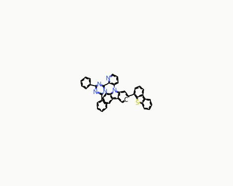 c1ccc(-c2nc(-c3ccccc3)nc(-c3ncccc3-n3c4ccccc4c4ccc(-c5cccc6c5sc5ccccc56)cc43)n2)cc1